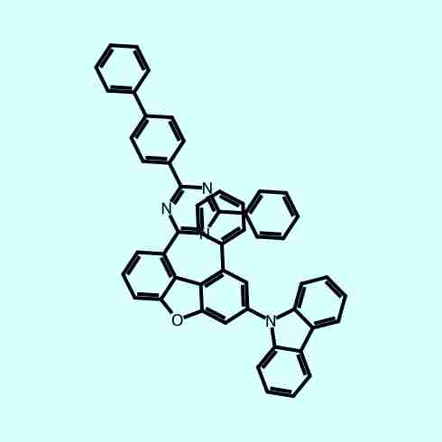 c1ccc(-c2ccc(-c3nc(-c4ccccc4)nc(-c4cccc5oc6cc(-n7c8ccccc8c8ccccc87)cc(-c7ccccc7)c6c45)n3)cc2)cc1